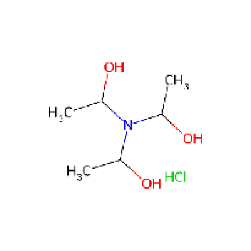 CC(O)N(C(C)O)C(C)O.Cl